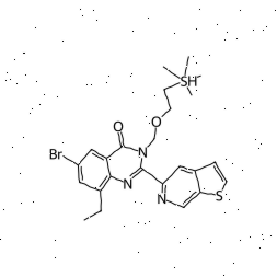 CCc1cc(Br)cc2c(=O)n(COCC[SH](C)(C)(C)C)c(-c3cc4ccsc4cn3)nc12